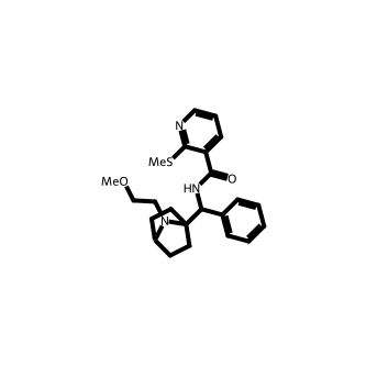 COCCN1C2CCC1(C(NC(=O)c1cccnc1SC)c1ccccc1)CC2